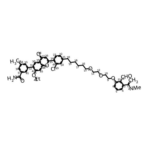 C=C(NC)c1cccc(OCCOCCOCCCCCCc2ccc(-c3cc(=O)c4cc(-c5cc(C)cc(C(N)=O)c5)c(OCC)cc4o3)c(Cl)c2)c1C=O